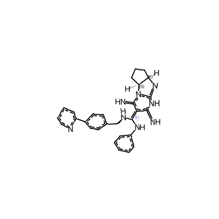 N=c1[nH]c2n(c(=N)/c1=C(\NCc1ccc(-c3ccccn3)cc1)Nc1ccccc1)[C@H]1CCC[C@H]1N=2